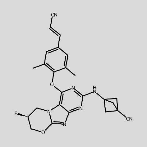 Cc1cc(/C=C/C#N)cc(C)c1Oc1nc(NC23CC(C#N)(C2)C3)nc2nc3n(c12)C[C@H](F)CO3